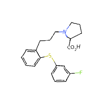 O=C(O)C1CCCN1CCCc1ccccc1Sc1cccc(F)c1